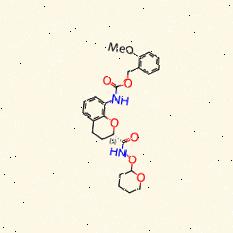 COc1ccccc1COC(=O)Nc1cccc2c1O[C@H](C(=O)NOC1CCCCO1)CC2